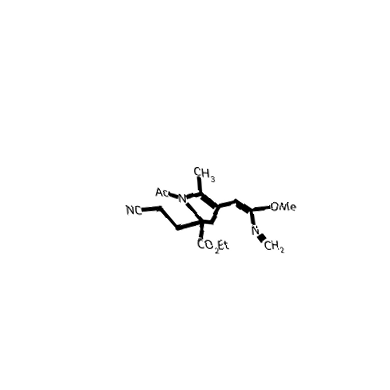 C=N/C(=C\C1=C(C)N(C(C)=O)C(CCC#N)(C(=O)OCC)C1)OC